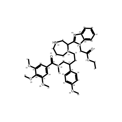 CCOC(=O)Cn1c(C2CNCCCN2CCC(CN(C)C(=O)c2cc(OC)c(OC)c(OC)c2)c2ccc(OC)cc2)nc2ccccc21